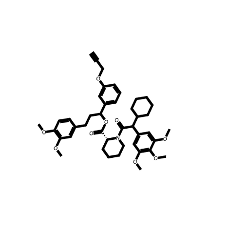 C#CCOc1cccc(C(CCc2ccc(OC)c(OC)c2)OC(=O)[C@H]2CCCCN2C(=O)C(c2cc(OC)c(OC)c(OC)c2)C2CCCCC2)c1